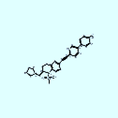 CS(=O)(=O)N1c2ccc(C#Cc3ccc(-c4ccc(Cl)cc4)cn3)cc2CCC1CN1CCCC1